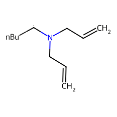 C=CCN([CH]CCCC)CC=C